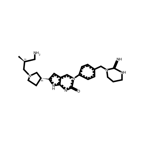 C[C@@H](CN)CN1CC[C@@H](c2cc3cn(-c4ccc(CN5CCCNC5=N)cc4)c(=O)nc3[nH]2)C1